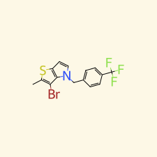 Cc1sc2ccn(Cc3ccc(C(F)(F)F)cc3)c2c1Br